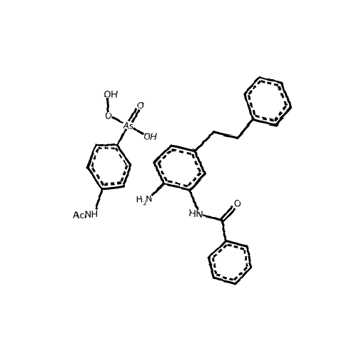 CC(=O)Nc1ccc([As](=O)(O)OO)cc1.Nc1ccc(CCc2ccccc2)cc1NC(=O)c1ccccc1